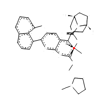 CN1CCC[C@H]1COc1nc(N2C[C@H]3CC[C@@H](C2)N3C(=O)OC(C)(C)C)c2ccc(-c3cccc4cccc(Cl)c34)nc2n1